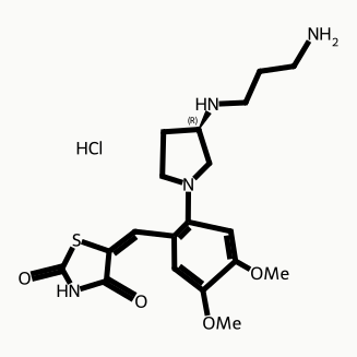 COc1cc(C=C2SC(=O)NC2=O)c(N2CC[C@@H](NCCCN)C2)cc1OC.Cl